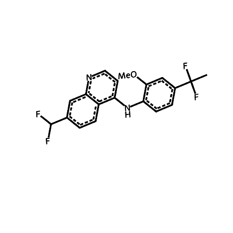 COc1cc(C(C)(F)F)ccc1Nc1ccnc2cc(C(F)F)ccc12